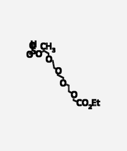 CCOC(=O)COCCOCCOCCOCC(C)O[SH](=O)=O